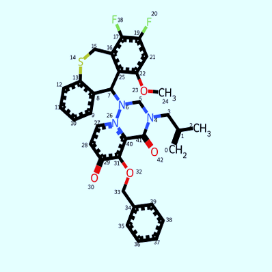 C=C(C)CN1CN(C2c3ccccc3SCc3c(F)c(F)cc(OC)c32)n2ccc(=O)c(OCc3ccccc3)c2C1=O